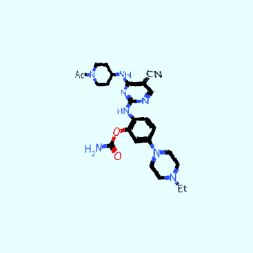 CCN1CCN(c2ccc(Nc3ncc(C#N)c(NC4CCN(C(C)=O)CC4)n3)c(OC(N)=O)c2)CC1